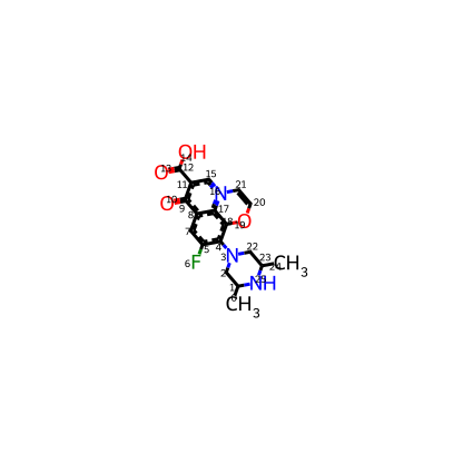 CC1CN(c2c(F)cc3c(=O)c(C(=O)O)cn4c3c2OC=C4)CC(C)N1